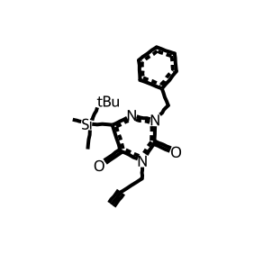 C#CCn1c(=O)c([Si](C)(C)C(C)(C)C)nn(Cc2ccccc2)c1=O